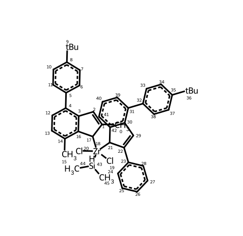 CC1=Cc2c(-c3ccc(C(C)(C)C)cc3)ccc(C)c2[CH]1[Zr]([Cl])([Cl])([CH]1C(c2ccccc2)=Cc2c(-c3ccc(C(C)(C)C)cc3)cccc21)[SiH](C)C